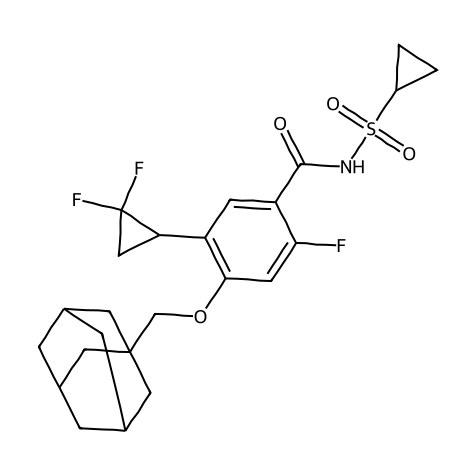 O=C(NS(=O)(=O)C1CC1)c1cc(C2CC2(F)F)c(OCC23CC4CC(CC(C4)C2)C3)cc1F